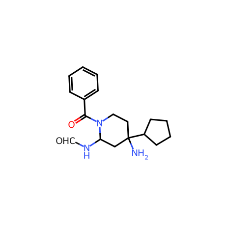 NC1(C2CCCC2)CCN(C(=O)c2ccccc2)C(NC=O)C1